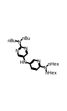 CCCCCCN(CCCCCC)c1ccc(Nc2cnc(N(CCCC)CCCC)nc2)cn1